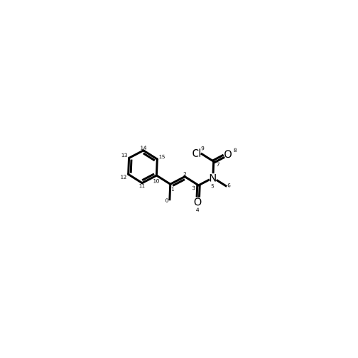 CC(=CC(=O)N(C)C(=O)Cl)c1ccccc1